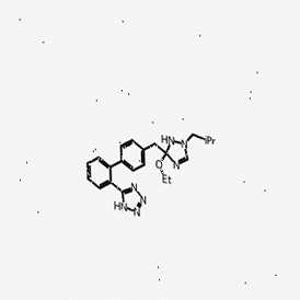 CCOC1(Cc2ccc(-c3ccccc3-c3nnn[nH]3)cc2)N=CN(CC(C)C)N1